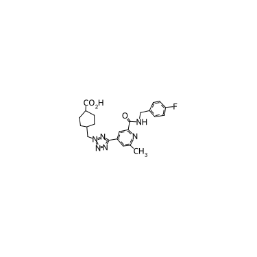 Cc1cc(-c2nnn(CC3CCC(C(=O)O)CC3)n2)cc(C(=O)NCc2ccc(F)cc2)n1